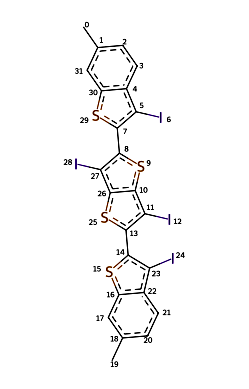 Cc1ccc2c(I)c(-c3sc4c(I)c(-c5sc6cc(C)ccc6c5I)sc4c3I)sc2c1